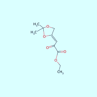 CCOC(=O)C(=O)C=C1COC(C)(C)O1